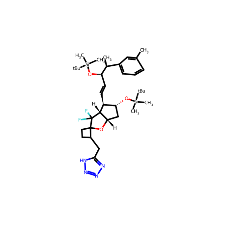 Cc1cccc(C(C)[C@@H](/C=C/[C@@H]2[C@@H]3[C@H](C[C@H]2O[Si](C)(C)C(C)(C)C)OC2(CCC2Cc2nnn[nH]2)C3(F)F)O[Si](C)(C)C(C)(C)C)c1